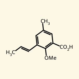 CC=Cc1cc(C)cc(C(=O)O)c1OC